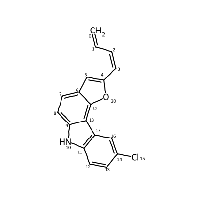 C=C/C=C\c1cc2ccc3[nH]c4ccc(Cl)cc4c3c2o1